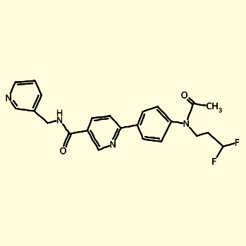 CC(=O)N(CCC(F)F)c1ccc(-c2ccc(C(=O)NCc3cccnc3)cn2)cc1